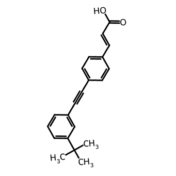 CC(C)(C)c1cccc(C#Cc2ccc(/C=C/C(=O)O)cc2)c1